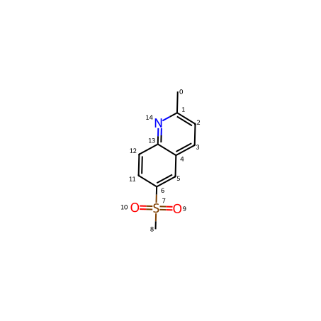 Cc1ccc2cc(S(C)(=O)=O)ccc2n1